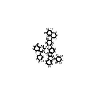 c1ccc(-c2nc(-n3c4ccc(-c5cccc6ccccc56)cc4c4ccc5c(sc6c7ccccc7n(-c7ccccc7)c56)c43)nc3ccccc23)cc1